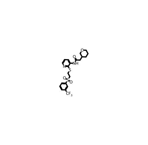 O=C(CC1CCCOC1)Nc1cccnc1SCCS(=O)(=O)c1cccc(C(F)(F)F)c1